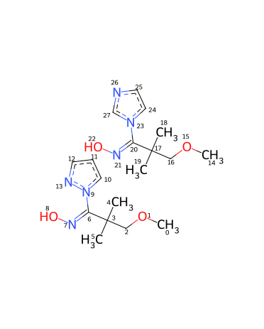 COCC(C)(C)/C(=N/O)n1cccn1.COCC(C)(C)/C(=N/O)n1ccnc1